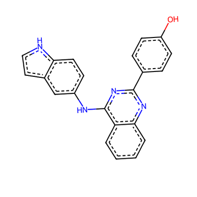 Oc1ccc(-c2nc(Nc3ccc4[nH]ccc4c3)c3ccccc3n2)cc1